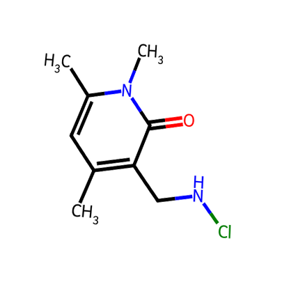 Cc1cc(C)n(C)c(=O)c1CNCl